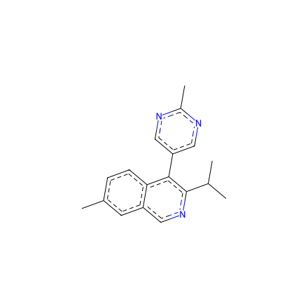 Cc1ccc2c(-c3cnc(C)nc3)c(C(C)C)ncc2c1